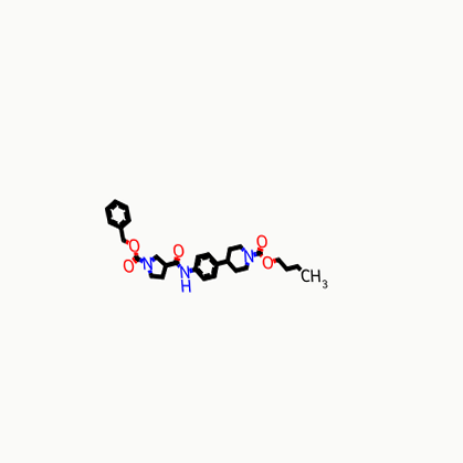 CCCCOC(=O)N1CCC(c2ccc(NC(=O)C3CCN(C(=O)OCc4ccccc4)C3)cc2)CC1